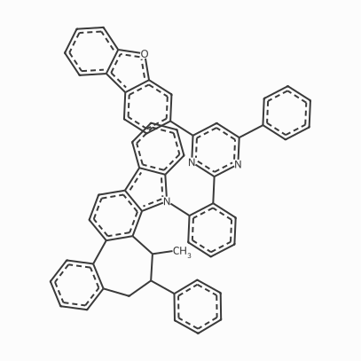 CC1c2c(ccc3c4ccccc4n(-c4ccccc4-c4nc(-c5ccccc5)cc(-c5ccc6c(c5)oc5ccccc56)n4)c23)-c2ccccc2CC1c1ccccc1